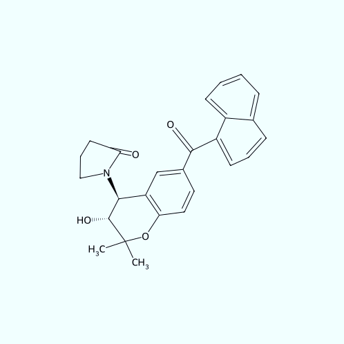 CC1(C)Oc2ccc(C(=O)c3cccc4ccccc34)cc2[C@H](N2CCCC2=O)[C@H]1O